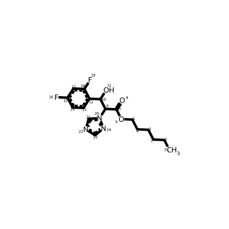 CCCCCCOC(=O)C(C(O)c1ccc(F)cc1F)n1cncn1